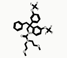 COCCN(CCOC)C(=O)NCC(Cc1ccccc1)(c1cccc(OC(F)(F)F)c1)c1cccc(OC(F)(F)F)c1